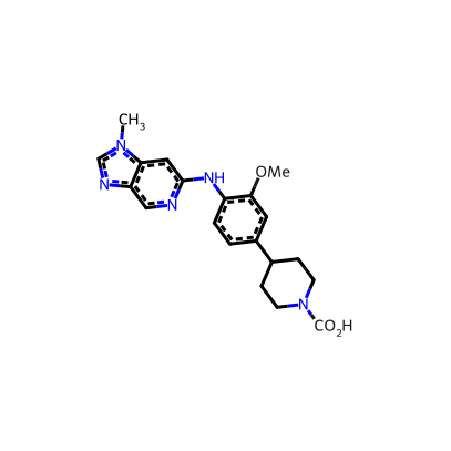 COc1cc(C2CCN(C(=O)O)CC2)ccc1Nc1cc2c(cn1)ncn2C